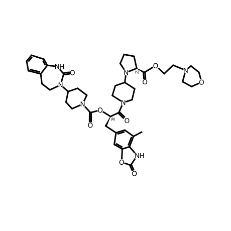 Cc1cc(C[C@@H](OC(=O)N2CCC(N3CCc4ccccc4NC3=O)CC2)C(=O)N2CCC(N3CCC[C@H]3C(=O)OCCN3CCOCC3)CC2)cc2oc(=O)[nH]c12